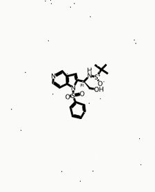 CC(C)(C)[S+]([O-])N[C@@H](CO)c1cc2cnccc2n1S(=O)(=O)c1ccccc1